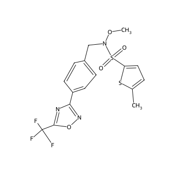 CON(Cc1ccc(-c2noc(C(F)(F)F)n2)cc1)S(=O)(=O)c1ccc(C)s1